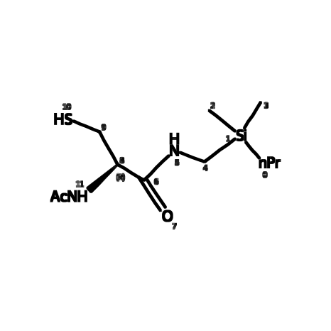 CCC[Si](C)(C)CNC(=O)[C@H](CS)NC(C)=O